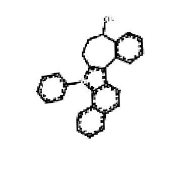 CC1CCc2c(c3ccc4ccccc4c3n2-c2ccccc2)-c2ccccc21